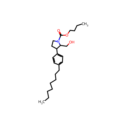 CCCCCCCCc1ccc(C2CCN(C(=O)OCCCC)C2CO)cc1